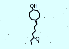 CCC(CCCC=C1CCCC(O)CCC1)OC